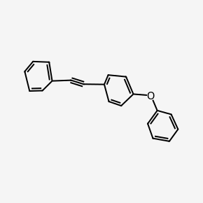 C(#Cc1ccc(Oc2ccccc2)cc1)c1ccccc1